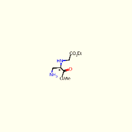 CCOC(=O)CN[C@H](CN)C(=O)OC